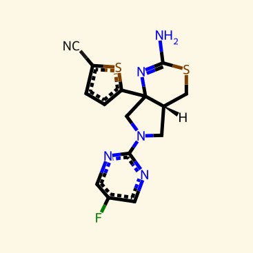 N#Cc1ccc(C23CN(c4ncc(F)cn4)C[C@H]2CSC(N)=N3)s1